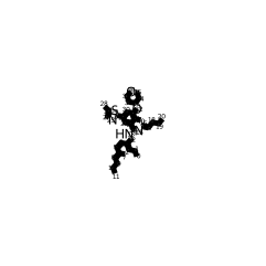 CC/C=C(/C=C\C(C)=C\CCC)CN/C(=N/C=C/CCC)c1cc(-c2ncc(C)s2)cc(OC2CCOCC2)c1C